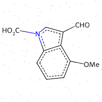 COc1cccc2c1c(C=O)cn2C(=O)O